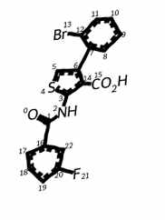 O=C(Nc1scc(-c2ccccc2Br)c1C(=O)O)c1cccc(F)c1